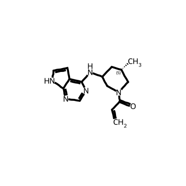 C=CC(=O)N1CC(Nc2ncnc3[nH]ccc23)C[C@H](C)C1